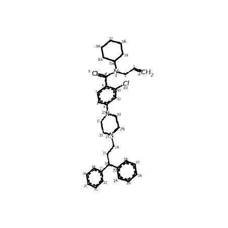 C=CCN(C(=O)c1ccc(N2CCN(CCC(c3ccccc3)c3ccccc3)CC2)cc1Cl)C1CCCCC1